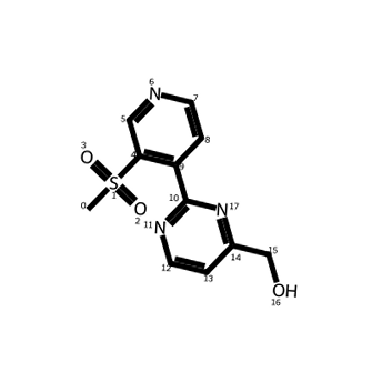 CS(=O)(=O)c1cnccc1-c1nccc(CO)n1